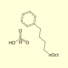 CCCCCCCCCCCCc1ccccc1.O=[SH](=O)O